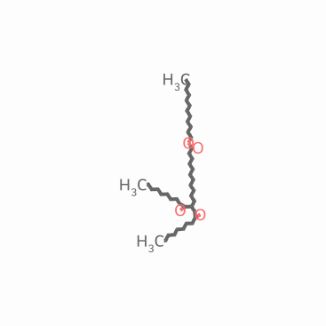 CCCCCCCCCCCCOC(=O)CCCCCCCCCCC(C1OC1CCCCCCCC)C1OC1CCCCCCCC